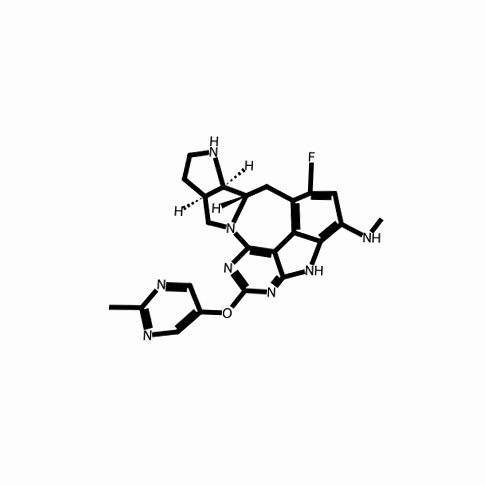 CNc1cc(F)c2c3c1[nH]c1nc(Oc4cnc(C)nc4)nc(c13)N1C[C@H]3CCN[C@H]3[C@@H]1C2